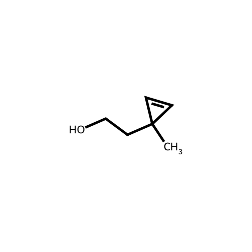 CC1(CCO)C=C1